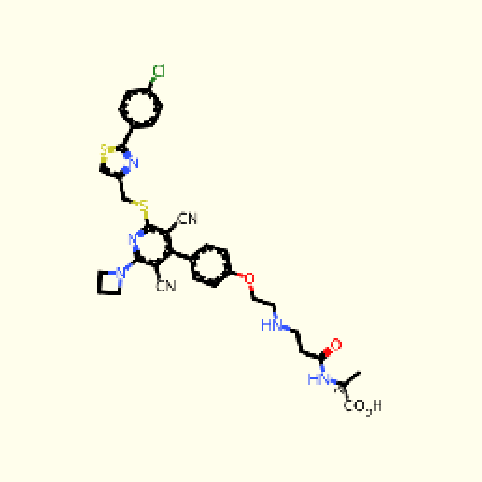 C[C@H](NC(=O)CCNCCOc1ccc(-c2c(C#N)c(SCc3csc(-c4ccc(Cl)cc4)n3)nc(N3CCC3)c2C#N)cc1)C(=O)O